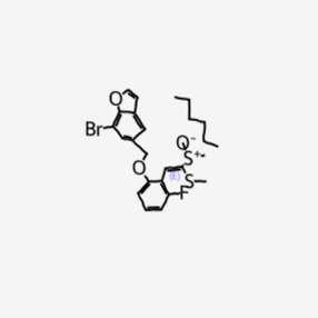 CCCCCC.CS/C(=C\c1c(F)cccc1OCc1cc(Br)c2occc2c1)[S+](C)[O-]